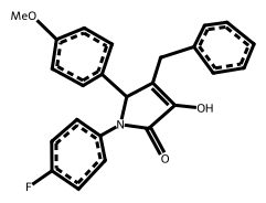 COc1ccc(C2C(Cc3ccccc3)=C(O)C(=O)N2c2ccc(F)cc2)cc1